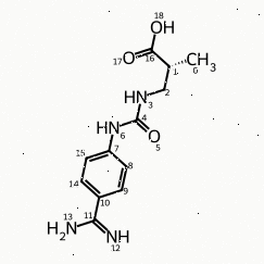 C[C@H](CNC(=O)Nc1ccc(C(=N)N)cc1)C(=O)O